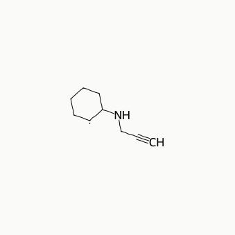 C#CCNC1[CH]CCCC1